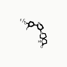 O=C1CCC2(CCN(c3ccnc(-c4ccc(OC(F)(F)F)c(F)c4)c3)CC2)N1